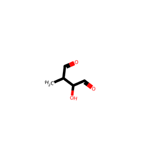 [CH2]C(C=O)C(O)C=O